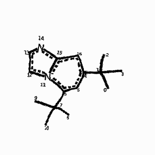 CC(C)(C)c1cc(C(C)(C)C)n2ccnc2c1